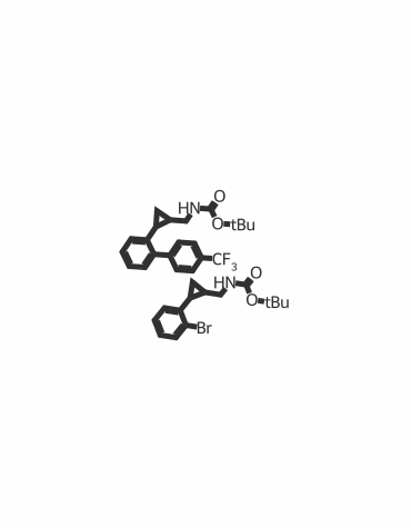 CC(C)(C)OC(=O)NCC1CC1c1ccccc1-c1ccc(C(F)(F)F)cc1.CC(C)(C)OC(=O)NCC1CC1c1ccccc1Br